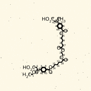 C=COON(CC(=O)O)c1ccc(C(=O)OCCCCCC(=O)OCCOC(=O)CCCCCOC(=O)c2ccc(N(C)CC(=O)O)cc2)cc1